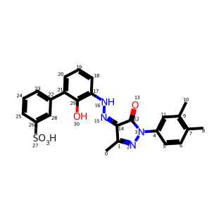 CC1=NN(c2ccc(C)c(C)c2)C(=O)C1=NNc1cccc(-c2cccc(S(=O)(=O)O)c2)c1O